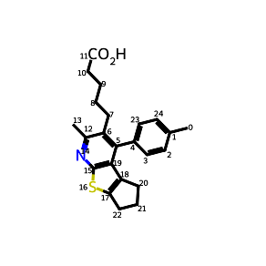 Cc1ccc(-c2c(CCCCC(=O)O)c(C)nc3sc4c(c23)CCC4)cc1